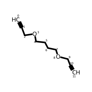 C#CCOCCCCOCC#C